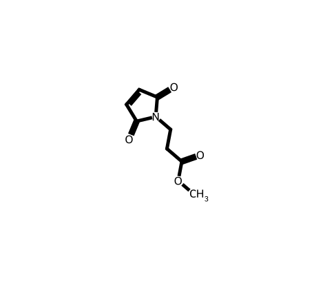 COC(=O)CCN1C(=O)C=CC1=O